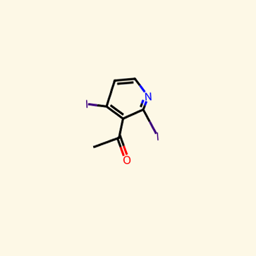 CC(=O)c1c(I)ccnc1I